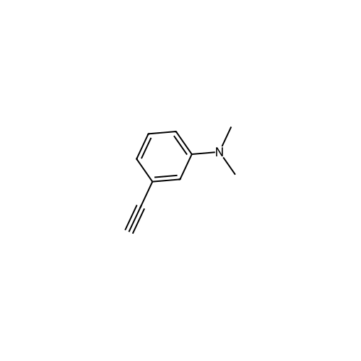 C#Cc1cccc(N(C)C)c1